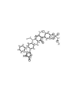 CCCc1nc(CCl)n(-c2ccc(OC(S)(Cl)COC)cc2)c(=O)c1Cc1ccc(-c2ccccc2-c2noc(=O)[nH]2)cc1